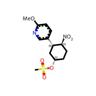 COc1ccc([C@H]2C[C@@H](OS(C)(=O)=O)CC[C@@H]2[N+](=O)[O-])cn1